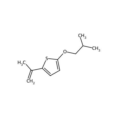 C=C(C)c1ccc(OCC(C)C)s1